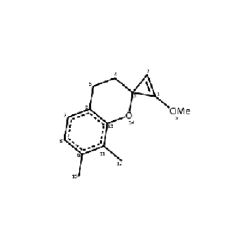 COC1=CC12CCc1ccc(C)c(C)c1O2